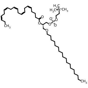 CC/C=C\C/C=C\C/C=C\C/C=C\C/C=C\CCCC(=O)O[C@H](COCCCCCCCCCCCCCCCCCC)COP(=O)([O-])OCC[N+](C)(C)C